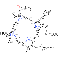 CC1=C(CCC(=O)[O-])c2cc3[nH]c(cc4nc(cc5[nH]c(cc1n2)c(C)c5C=O)C(C)=C4C(O)C(F)(F)F)c(C)c3CCC(=O)[O-].[Na+].[Na+]